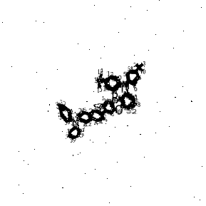 CC(C)(C)c1ccc(N2c3ccc(C(C)(C)C)cc3B3c4cc5sc6c7ccc(N(c8ccccc8)c8ccccc8)cc7ccc6c5cc4Oc4cccc2c43)cc1